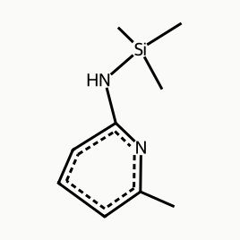 Cc1cccc(N[Si](C)(C)C)n1